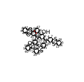 Oc1cc(N(c2ccc3c(c2)Sc2ccccc2S3)c2ccc3c(c2)Sc2ccccc2S3)cc(N(c2ccc3c(c2)Oc2ccccc2O3)c2ccc3c(c2)Oc2ccccc2O3)c1-c1ccccc1